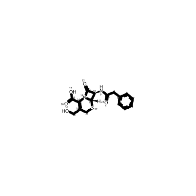 O=C(Cc1ccccc1)N[C@@H]1C(=O)N2C(C(=O)O)=C(CO)CS[C@@H]12